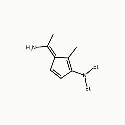 CCN(CC)C1=C(C)/C(=C(\C)N)C=C1